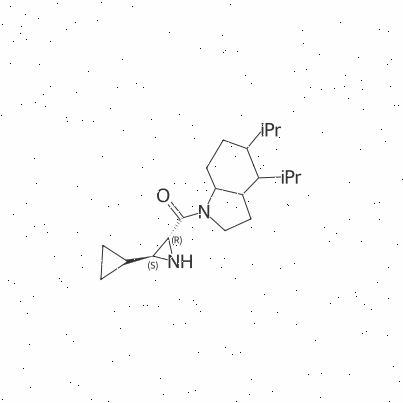 CC(C)C1CCC2C(CCN2C(=O)[C@@H]2N[C@H]2C2CC2)C1C(C)C